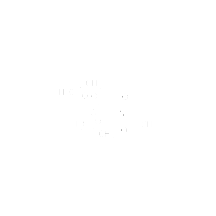 CC1=CC(=O)N(CCC(OOC(C)(C)c2ccccc2)OOC(C)(C)c2ccccc2)C1=O